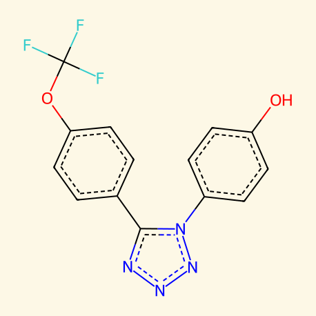 Oc1ccc(-n2nnnc2-c2ccc(OC(F)(F)F)cc2)cc1